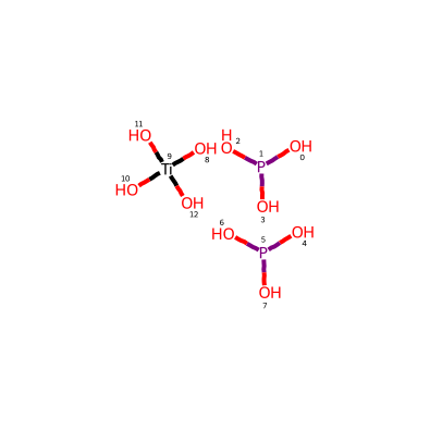 OP(O)O.OP(O)O.[OH][Ti]([OH])([OH])[OH]